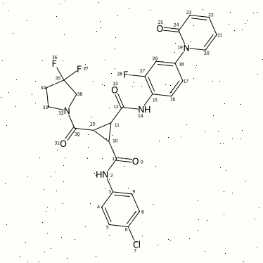 O=C(Nc1ccc(Cl)cc1)C1C(C(=O)Nc2ccc(-n3ccccc3=O)cc2F)C1C(=O)N1CCC(F)(F)C1